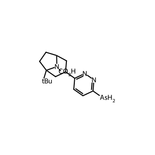 CC(C)(C)C12CCC(CC(c3ccc([AsH2])nn3)C1)N2C(=O)O